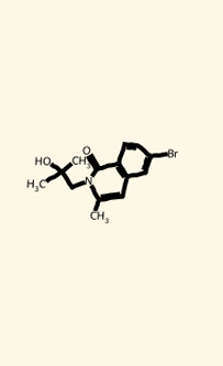 Cc1cc2cc(Br)ccc2c(=O)n1CC(C)(C)O